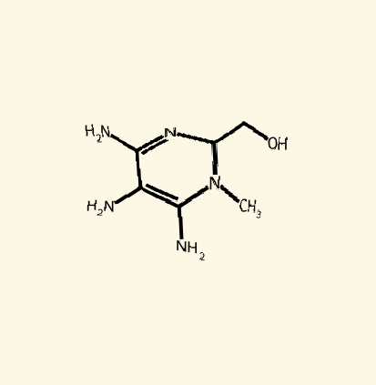 CN1C(N)=C(N)C(N)=NC1CO